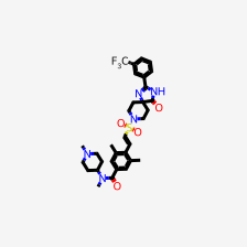 Cc1cc(C(=O)N(C)C2CCN(C)CC2)cc(C)c1C=CS(=O)(=O)N1CCC2(CC1)N=C(c1cccc(C(F)(F)F)c1)NC2=O